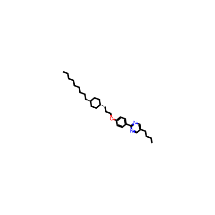 CCCCCCCCC[C@H]1CC[C@H](CCCOc2ccc(-c3ncc(CCCC)cn3)cc2)CC1